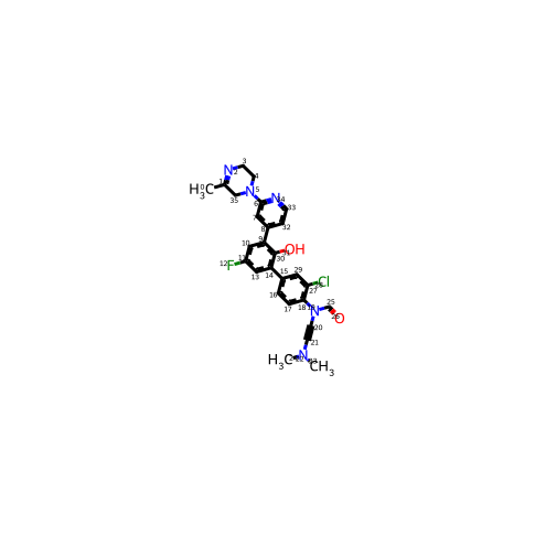 CC1=NCCN(c2cc(-c3cc(F)cc(-c4ccc(N(C#CN(C)C)C=O)c(Cl)c4)c3O)ccn2)C1